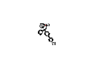 NC(=O)CC(c1ccccc1)(c1ccccc1)c1ccc(-c2ccc(Cl)cc2)cc1